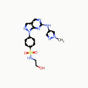 Cn1cc(Nc2ncc3cnn(-c4ccc(S(=O)(=O)NCCO)cc4)c3n2)cn1